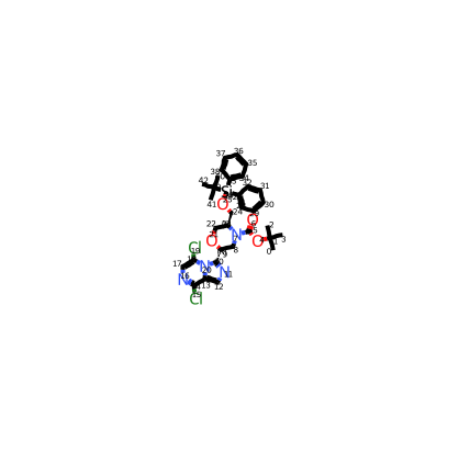 CC(C)(C)OC(=O)N1C[C@H](c2ncc3c(Cl)ncc(Cl)n23)OC[C@H]1CO[Si](c1ccccc1)(c1ccccc1)C(C)(C)C